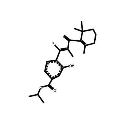 C=C(C1=C(C)CCCC1(C)C)/C(C)=C(\F)c1ccc(C(=O)OC(C)C)cc1O